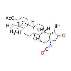 CC(=O)OC1CC[C@]2(C)[C@H]3CC[C@@H]4C5=C(C(C)C)C(=O)C[C@]5(N=C=O)CC[C@@]4(C)[C@]3(C)CC[C@H]2C1(C)C